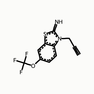 C#CCn1c(=N)sc2cc(OC(F)(F)F)ccc21